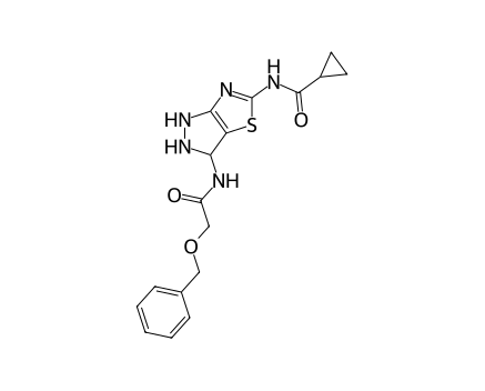 O=C(COCc1ccccc1)NC1NNc2nc(NC(=O)C3CC3)sc21